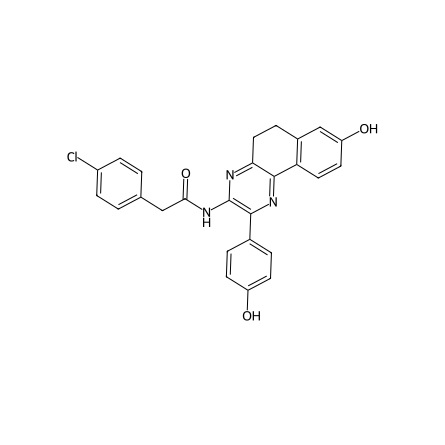 O=C(Cc1ccc(Cl)cc1)Nc1nc2c(nc1-c1ccc(O)cc1)-c1ccc(O)cc1CC2